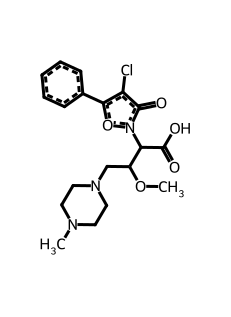 COC(CN1CCN(C)CC1)C(C(=O)O)n1oc(-c2ccccc2)c(Cl)c1=O